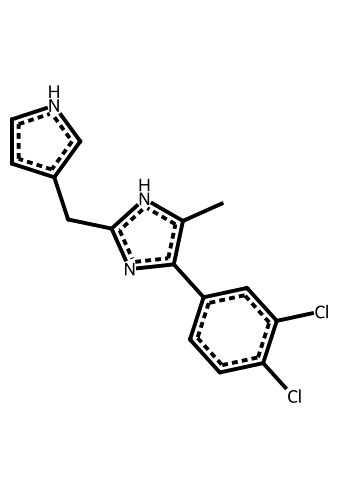 Cc1[nH]c(Cc2cc[nH]c2)nc1-c1ccc(Cl)c(Cl)c1